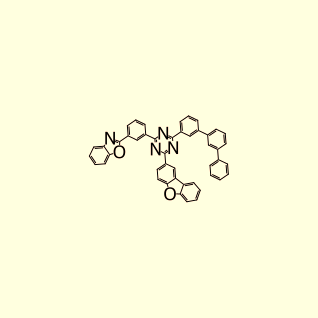 c1ccc(-c2cccc(-c3cccc(-c4nc(-c5cccc(-c6nc7ccccc7o6)c5)nc(-c5ccc6oc7ccccc7c6c5)n4)c3)c2)cc1